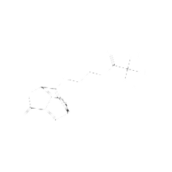 CC(C)(C)C(=O)OCCOc1c2c3oc1cc3C(=O)O2